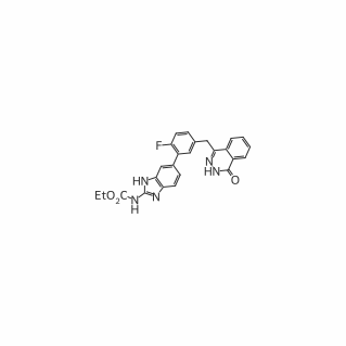 CCOC(=O)Nc1nc2ccc(-c3cc(Cc4n[nH]c(=O)c5ccccc45)ccc3F)cc2[nH]1